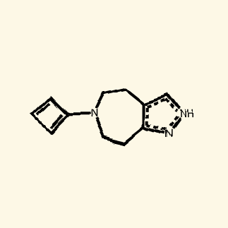 C1=CC(N2CCc3c[nH]nc3CC2)=C1